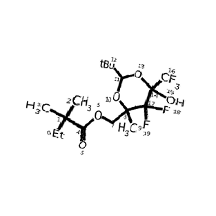 CCC(C)(C)C(=O)OCC1(C)OC(C(C)(C)C)OC(O)(C(F)(F)F)C1(F)F